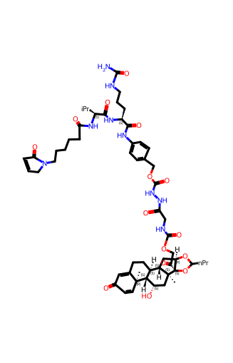 CCCC1O[C@@H]2C[C@H]3[C@@H]4CCC5=CC(=O)C=C[C@]5(C)[C@H]4[C@@H](O)C[C@]3(C)[C@]2(C(=O)COC(=O)NCC(=O)NNC(=O)OCc2ccc(NC(=O)[C@H](CCCNC(N)=O)NC(=O)[C@@H](NC(=O)CCCCCN3CC=CC3=O)C(C)C)cc2)O1